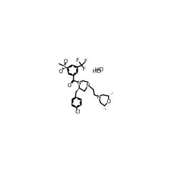 C[C@@H]1CN(CCN2CCN(C(=O)c3cc(C(F)(F)F)cc(S(C)(=O)=O)c3)[C@H](Cc3ccc(Cl)cc3)C2)C[C@H](C)O1.Cl.Cl